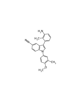 COc1ccc(-n2cc(-c3cccc(N)c3C)c3cc(C#N)ccc32)cc1C